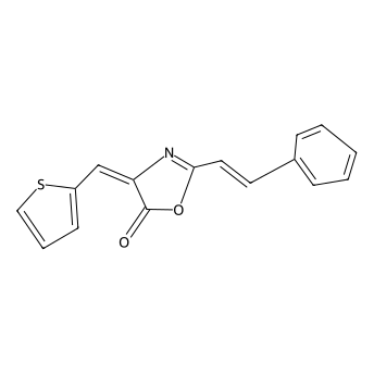 O=C1OC(/C=C/c2ccccc2)=NC/1=C/c1cccs1